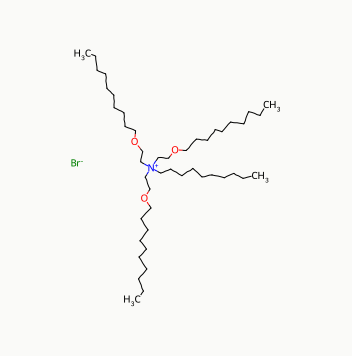 CCCCCCCCCCOCC[N+](CCCCCCCCCC)(CCOCCCCCCCCCC)CCOCCCCCCCCCC.[Br-]